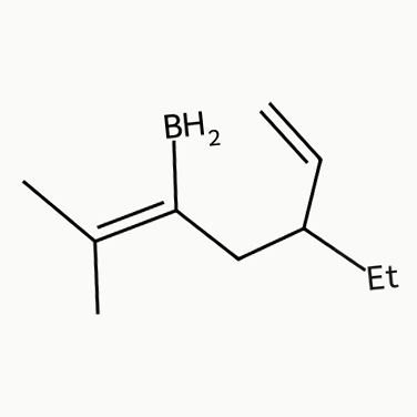 BC(CC(C=C)CC)=C(C)C